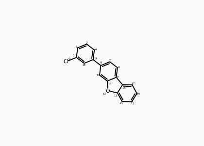 Clc1cccc(-c2ccc3c(c2)oc2ccccc23)c1